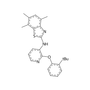 Cc1cc(C)c2nc(Nc3cccnc3Oc3ccccc3C(C)(C)C)sc2c1C